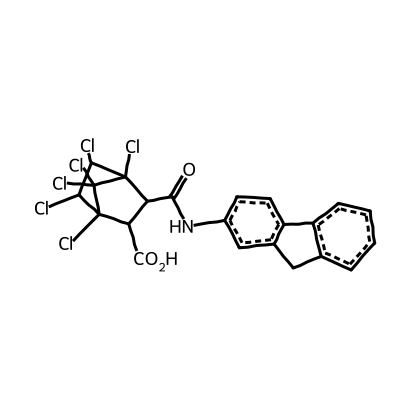 O=C(O)C1C(C(=O)Nc2ccc3c(c2)Cc2ccccc2-3)C2(Cl)C(Cl)C(Cl)C1(Cl)C2(Cl)Cl